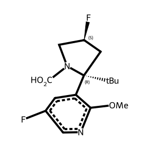 COc1ncc(F)cc1[C@]1(C(C)(C)C)C[C@H](F)CN1C(=O)O